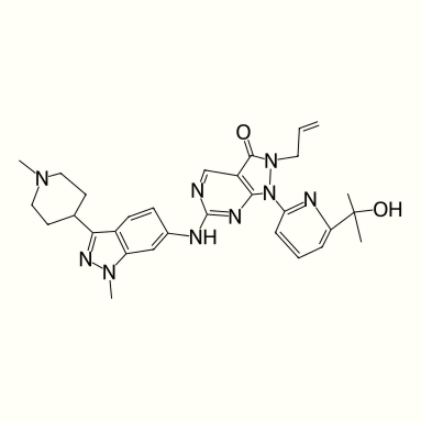 C=CCn1c(=O)c2cnc(Nc3ccc4c(C5CCN(C)CC5)nn(C)c4c3)nc2n1-c1cccc(C(C)(C)O)n1